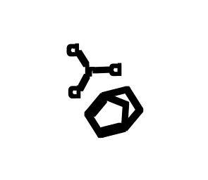 C1=C2CCC(=C1)C2.[Cl][Ir]([Cl])[Cl]